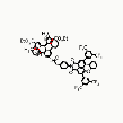 CCOC(=O)C1=C/C(=C(\c2c(C3CCCCC3)cc(OC(=O)Cc3ccc(-n4c(=O)c5cc(-c6cc(C(F)(F)F)cc(C(F)(F)F)c6)c6oc7ccccc7c7c(-c8cc(C(F)(F)F)cc(C(F)(F)F)c8)cc(c4=O)c5c67)cc3)cc2C2CCCCC2)c2cc(C(=O)OCC)c(C)n2B(F)F)N=C1C